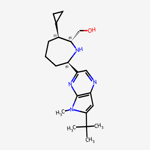 Cn1c(C(C)(C)C)cc2ncc([C@H]3CCC[C@@H](C4CC4)[C@H](CO)N3)nc21